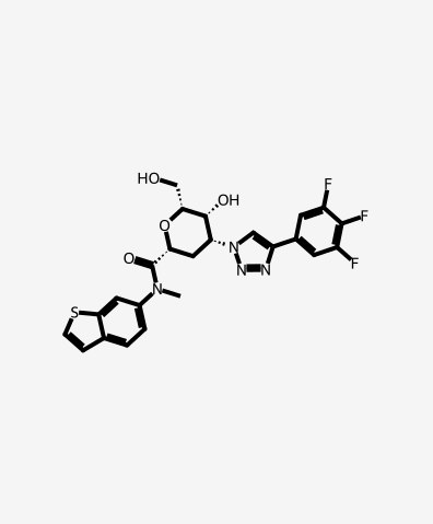 CN(C(=O)[C@H]1C[C@@H](n2cc(-c3cc(F)c(F)c(F)c3)nn2)[C@@H](O)[C@@H](CO)O1)c1ccc2ccsc2c1